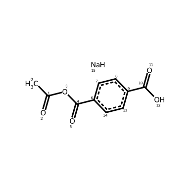 CC(=O)OC(=O)c1ccc(C(=O)O)cc1.[NaH]